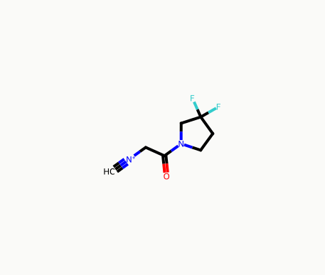 C#[N+]CC(=O)N1CCC(F)(F)C1